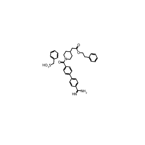 N=C(N)c1ccc(-c2ccc(C(=O)N3CCC(CC(=O)OCCc4ccccc4)CC3)cc2)cc1.O=S(=O)(O)Cc1ccccc1